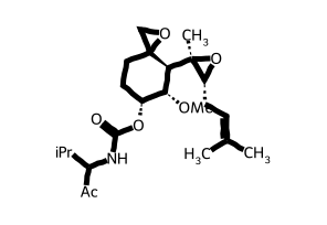 CO[C@@H]1[C@H](OC(=O)NC(C(C)=O)C(C)C)CCC2(CO2)[C@H]1[C@@]1(C)O[C@@H]1CC=C(C)C